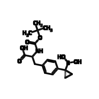 CC(C)(C)OC(=O)NC(Cc1ccc(C2(B(O)O)CC2)cc1)C(=O)O